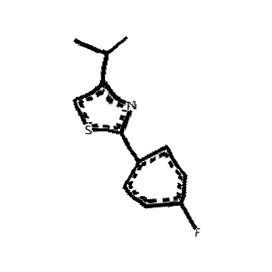 C[C](C)c1csc(-c2ccc(F)cc2)n1